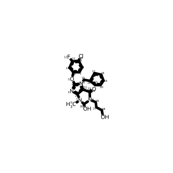 CN1c2nc(Oc3ccc(Cl)c(F)c3)n(Cc3ccccc3)c2C(=O)N(CCCO)C1O